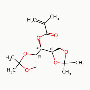 C=C(C)C(=O)O[C@H]([C@@H]1COC(C)(C)O1)[C@H]1COC(C)(C)O1